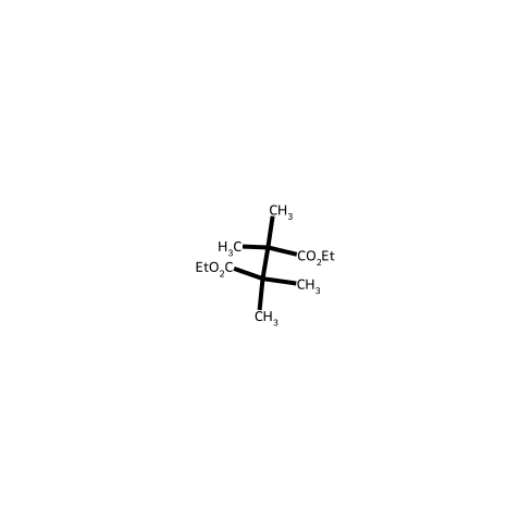 CCOC(=O)C(C)(C)C(C)(C)C(=O)OCC